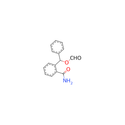 NC(=O)c1ccccc1C(OC=O)c1ccccc1